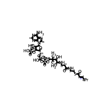 CC(C)/C=C/C(=O)SCCNC(=O)CCNC(=O)[C@H](O)C(C)(C)COP(=O)(O)OP(=O)(O)OC[C@H]1O[C@@H](n2cnc3c(N)ncnc32)[C@H](O)[C@@H]1OP(=O)(O)O